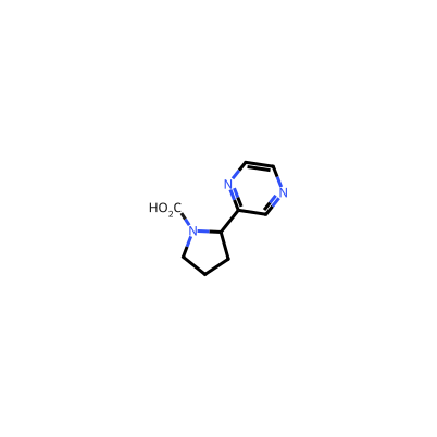 O=C(O)N1CCCC1c1cnccn1